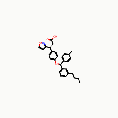 CCCCc1cccc(C(Oc2ccc([C@H](CC(=O)O)c3ccon3)cc2)c2ccc(C)cc2)c1